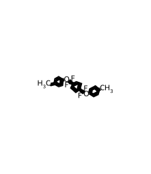 CCc1ccc(OC(F)(F)c2ccc(C(F)(F)Oc3ccc(C)cc3)cc2)cc1